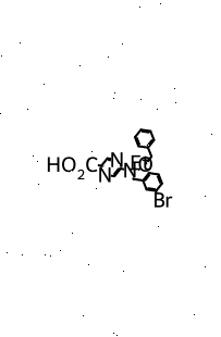 CCN(Cc1cc(Br)ccc1OCc1ccccc1)c1cnc(C(=O)O)cn1